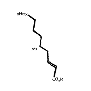 CCCCCCCCCCCC=CC(=O)O.[Nd]